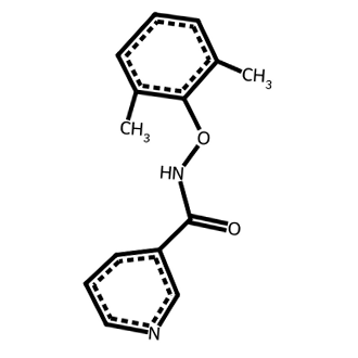 Cc1cccc(C)c1ONC(=O)c1cccnc1